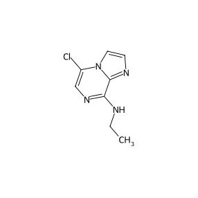 CCNc1ncc(Cl)n2ccnc12